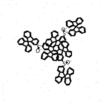 [O-][S+](c1ccc2c(c1)C1(c3ccccc3-c3ccccc31)c1ccccc1-2)c1ccc2c(c1)C1(c3ccccc3-c3ccccc31)c1c-2c2c(c3c1-c1ccc([S+]([O-])c4ccc5c(c4)C4(c6ccccc6-c6ccccc64)c4ccccc4-5)cc1C31c3ccccc3-c3ccccc31)-c1ccc([S+]([O-])c3ccc4c(c3)C3(c5ccccc5-c5ccccc53)c3ccccc3-4)cc1C21c2ccccc2-c2ccccc21